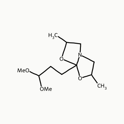 COC(CCC12OC(C)CN1CC(C)O2)OC